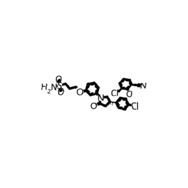 N#Cc1cccc(Cl)c1Oc1cc([C@H]2CC(=O)N(c3cccc(OCCCS(N)(=O)=O)c3)C2)ccc1Cl